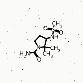 CC1(C)C(NS(C)(=O)=O)CCN1C(N)=O